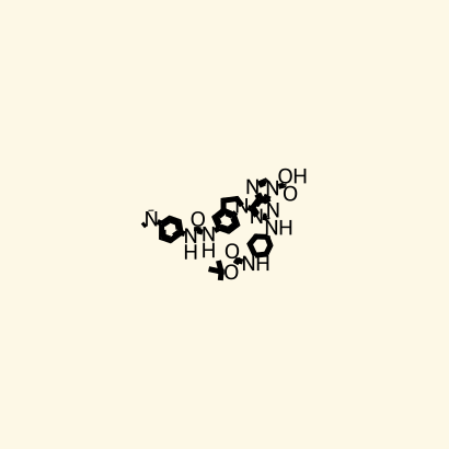 CN(C)c1ccc(NC(=O)Nc2ccc3c(c2)CCN3c2nc(NC3CCC(NC(=O)OC(C)(C)C)CC3)nc3c2ncn3C(=O)O)cc1